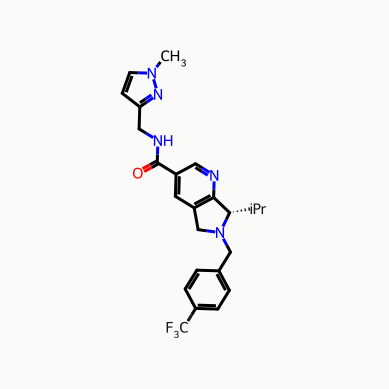 CC(C)[C@H]1c2ncc(C(=O)NCc3ccn(C)n3)cc2CN1Cc1ccc(C(F)(F)F)cc1